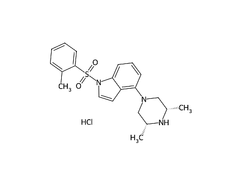 Cc1ccccc1S(=O)(=O)n1ccc2c(N3C[C@@H](C)N[C@@H](C)C3)cccc21.Cl